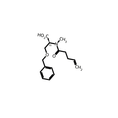 C=CCCC(=O)N(C)[C@@H](COCc1ccccc1)C(=O)O